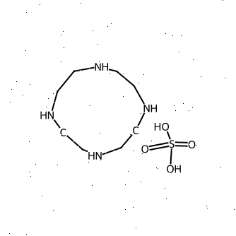 C1CNCCNCCNCCN1.O=S(=O)(O)O